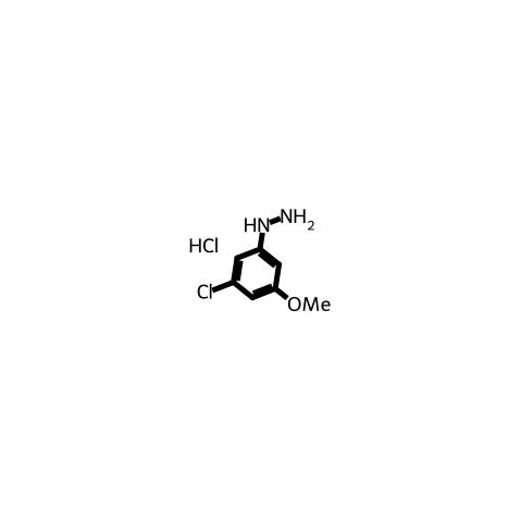 COc1cc(Cl)cc(NN)c1.Cl